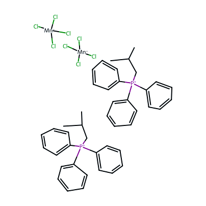 CC(C)C[P+](c1ccccc1)(c1ccccc1)c1ccccc1.CC(C)C[P+](c1ccccc1)(c1ccccc1)c1ccccc1.[Cl][Mn-]([Cl])([Cl])[Cl].[Cl][Mn-]([Cl])([Cl])[Cl]